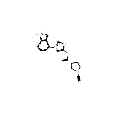 N#CN1CC[C@H](C(=O)Nc2cn(-c3cccc4[nH]ncc34)cn2)C1